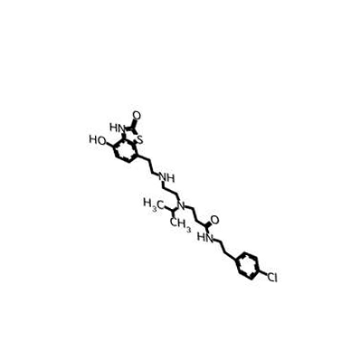 CC(C)N(CCNCCc1ccc(O)c2[nH]c(=O)sc12)CCC(=O)NCCc1ccc(Cl)cc1